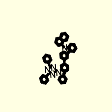 c1ccc(-c2nc(-c3ccccc3)nc(-n3c4ccccc4c4ccc(-c5ccc6c(c5)c5ccccc5n6-c5cccc6ccccc56)cc43)n2)cc1